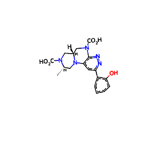 C[C@H]1CN2c3cc(-c4ccccc4O)nnc3N(C(=O)O)C[C@H]2CN1C(=O)O